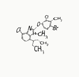 CCC(CC)c1ccc(Cl)c2nc(Oc3ccc(Br)c(C)c3Cl)n(C)c12